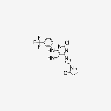 N=Cc1c(Nc2cccc(C(F)(F)F)c2)nc(Cl)nc1N1CC(N2CCCC2=O)C1